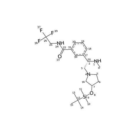 CN[C@H](CN1CCC(O[Si](C)(C)C(C)(C)C)C1)c1cccc(C(=O)NCC(F)(F)F)c1